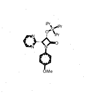 COc1ccc(N2C(=O)[C@@H](O[Si](C(C)C)(C(C)C)C(C)C)[C@H]2c2ncccn2)cc1